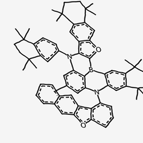 Cc1cc2c3c(c1)N(c1cccc4oc5cc6ccccc6cc5c14)c1cc4c(cc1B3c1oc3cc5c(cc3c1N2c1ccc2c(c1)C(C)(C)CCC2(C)C)C(C)(C)CCC5(C)C)C(C)(C)CCC4(C)C